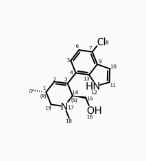 C[C@@H]1C=C(c2ccc(Cl)c3cc[nH]c23)[C@@H](CO)N(C)C1